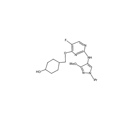 COc1nn(C(C)C)cc1Nc1ncc(F)c(OCC2CCC(O)CC2)n1